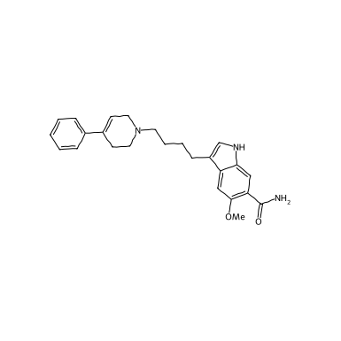 COc1cc2c(CCCCN3CC=C(c4ccccc4)CC3)c[nH]c2cc1C(N)=O